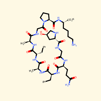 CC(C)C[C@H](NC(=O)[C@H](C)NC(=O)[C@H](CC(C)C)NC(=O)[C@H](CCC(N)=O)NC(=O)CNC(=O)[C@@H]1C[C@@H](O)CN1)C(=O)N[C@@H](C)C(=O)NCC(=O)N1CCC[C@H]1C(=O)N[C@@H](CCCCN)C(=O)O